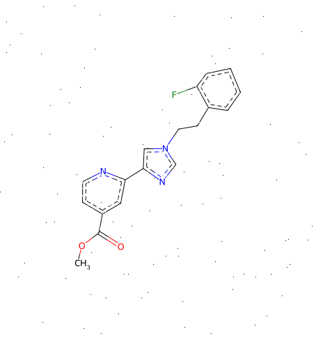 COC(=O)c1ccnc(-c2cn(CCc3ccccc3F)cn2)c1